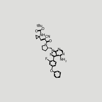 CC(C)(C)OC(=O)NC1(/C=C(\C#N)C(=O)N2CCC[C@@H]2Cn2nc(-c3ccc(Oc4ccccc4)cc3F)c3c(N)ncnc32)CC1